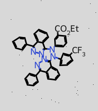 CCOC(=O)c1cccc(N(c2nnc(-c3ccccc3)c3ccccc23)N(c2cccc(C(F)(F)F)c2)c2nnc(-c3ccccc3)c3ccccc23)c1